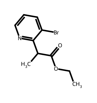 CCOC(=O)C(C)c1ncccc1Br